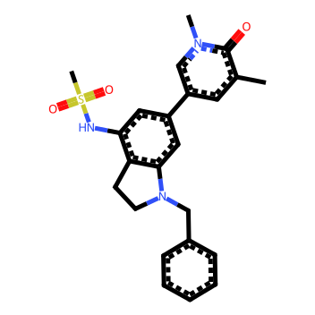 Cc1cc(-c2cc(NS(C)(=O)=O)c3c(c2)N(Cc2ccccc2)CC3)cn(C)c1=O